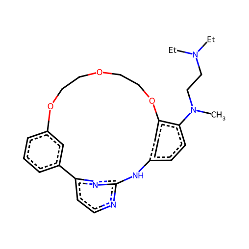 CCN(CC)CCN(C)c1ccc2cc1OCCOCCOc1cccc(c1)-c1ccnc(n1)N2